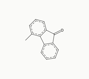 Cc1cccc2c1-c1ccccc1C2=O